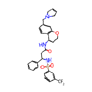 O=C(CC(NS(=O)(=O)c1cccc(C(F)(F)F)c1)c1ccccc1)NC1CCOc2cc(CN3CC=CC3)ccc21